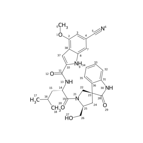 COc1cc(C#N)cc2[nH]c(C(=O)N[C@@H](CC(C)C)C(=O)N3C[C@]4(C[C@H]3CO)C(=O)Nc3ccccc34)cc12